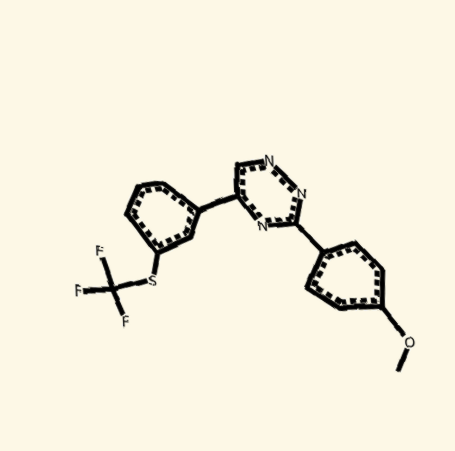 COc1ccc(-c2nncc(-c3cccc(SC(F)(F)F)c3)n2)cc1